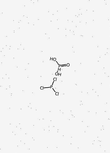 ClP(Cl)Cl.O=[PH](O)O